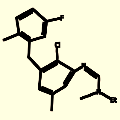 CCN(C)/C=N\c1cc(C)cc(Cc2cc(F)ccc2C)c1Cl